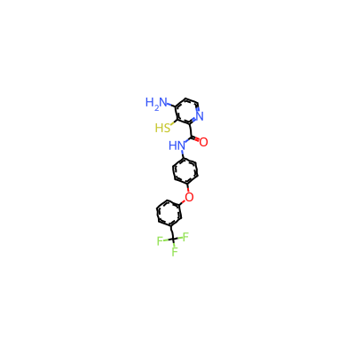 Nc1ccnc(C(=O)Nc2ccc(Oc3cccc(C(F)(F)F)c3)cc2)c1S